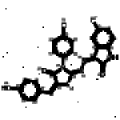 O=C1Nc2ccc(F)cc2C1=NN=C1SC(=Cc2ccc(O)cc2)C(=O)N1c1ccc(Cl)cc1